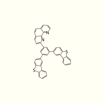 c1cnc2c(c1)ccc1ccc(-c3cc(-c4ccc5sc6ccccc6c5c4)cc(-c4ccc5sc6ccccc6c5c4)c3)nc12